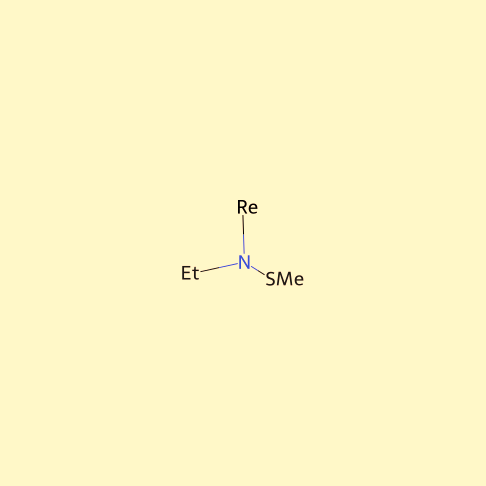 CC[N]([Re])SC